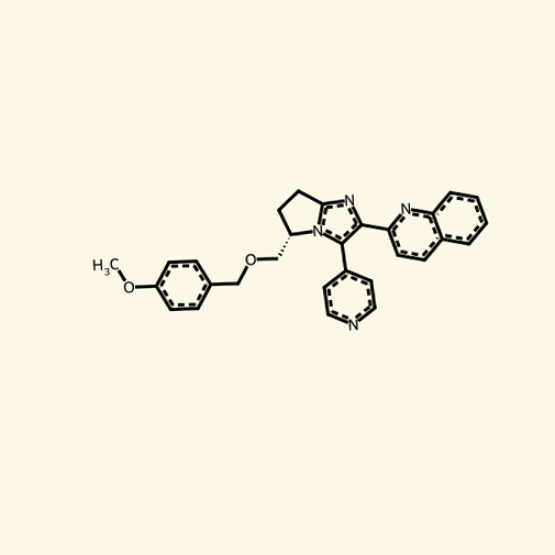 COc1ccc(COC[C@@H]2CCc3nc(-c4ccc5ccccc5n4)c(-c4ccncc4)n32)cc1